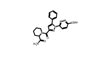 COc1ccc(-n2nc(C(=O)N3CCCCC3C(N)=O)cc2-c2ccccc2)nn1